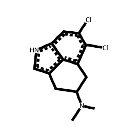 CN(C)C1Cc2c[nH]c3cc(Cl)c(Cl)c(c23)C1